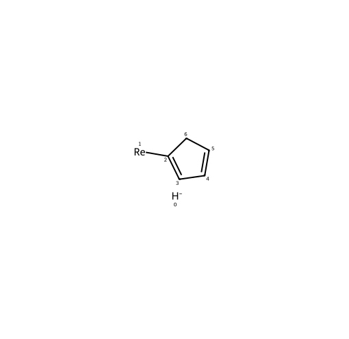 [H-].[Re][C]1=CC=CC1